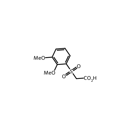 COc1cccc(S(=O)(=O)CC(=O)O)c1OC